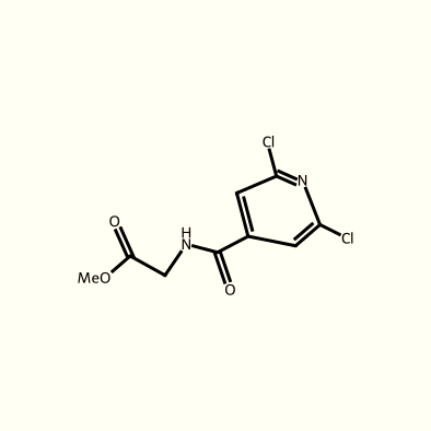 COC(=O)CNC(=O)c1cc(Cl)nc(Cl)c1